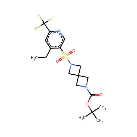 CCc1cc(C(F)(F)F)ncc1S(=O)(=O)N1CC2(CN(C(=O)OC(C)(C)C)C2)C1